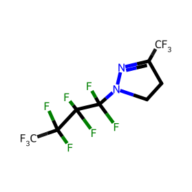 FC(F)(F)C1=NN(C(F)(F)C(F)(F)C(F)(F)C(F)(F)F)CC1